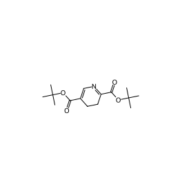 CC(C)(C)OC(=O)C1=CN=C(C(=O)OC(C)(C)C)CC1